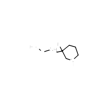 CSNCC1(F)CCCNC1